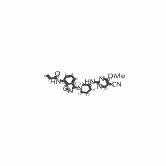 C=CC(=O)Nc1cccc2c(N3CCCC(Nc4ncc(C#N)c(OC)n4)C3)noc12